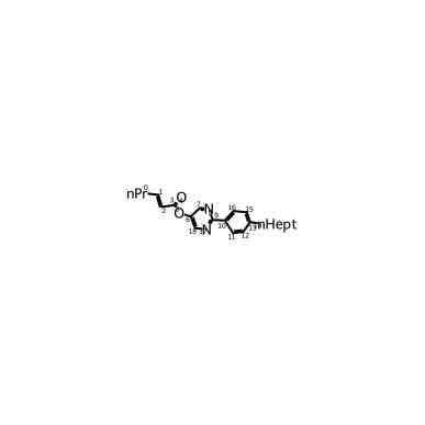 CCCC=CC(=O)Oc1cnc(-c2ccc(CCCCCCC)cc2)nc1